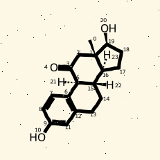 C[C@]12CC(=O)[C@@H]3c4ccc(O)cc4CC[C@H]3[C@@H]1CC[C@@H]2O